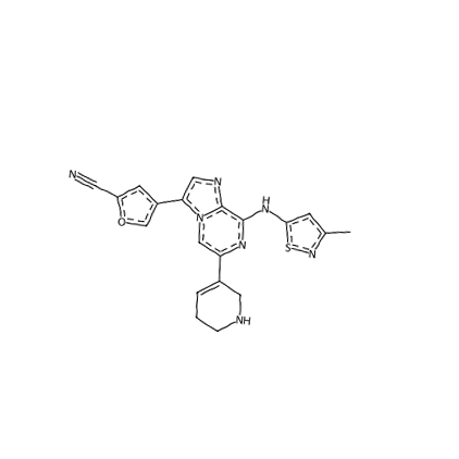 Cc1cc(Nc2nc(C3=CCCNC3)cn3c(-c4coc(C#N)c4)cnc23)sn1